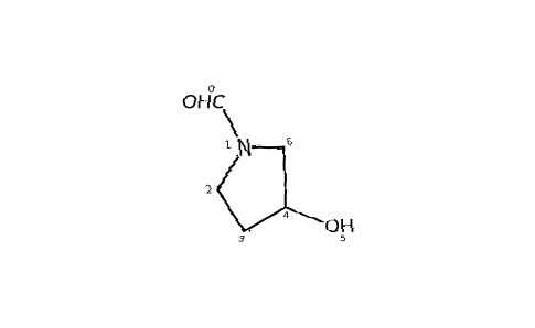 O=CN1C[CH]C(O)C1